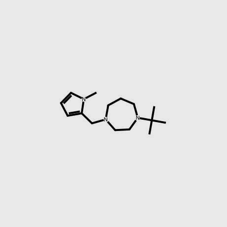 Cn1cccc1CN1CCCN(C(C)(C)C)CC1